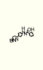 O=C1CCC(c2ccc(NN=C(CO)c3ccccc3)cc2)=NN1